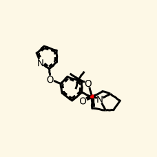 CC(C)(C)OC(=O)N1C2C=C(c3ccc(Oc4ccccn4)cc3)CC1CC2